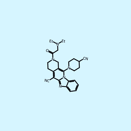 CCN(CC)CC(=O)N1CCc2c(c(N3CCC(C#N)CC3)n3c(nc4ccccc43)c2C#N)C1